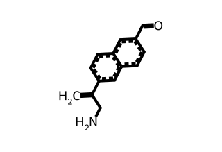 C=C(CN)c1ccc2cc(C=O)ccc2c1